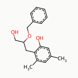 Cc1cc(C)c(CC(CO)OCc2ccccc2)c(O)c1